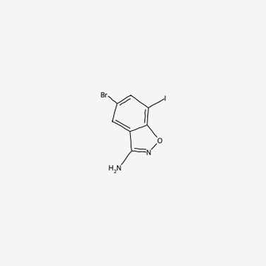 Nc1noc2c(I)cc(Br)cc12